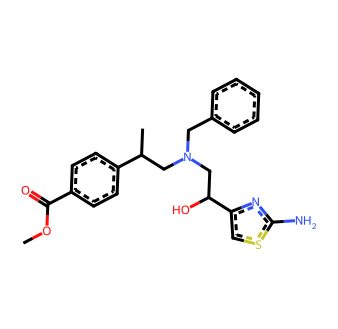 COC(=O)c1ccc(C(C)CN(Cc2ccccc2)CC(O)c2csc(N)n2)cc1